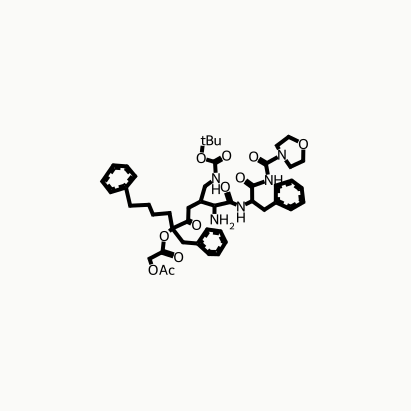 CC(=O)OCC(=O)OC(CCCCc1ccccc1)(Cc1ccccc1)C(=O)CC(CNC(=O)OC(C)(C)C)C(N)C(=O)NC(Cc1ccccc1)C(=O)NC(=O)N1CCOCC1